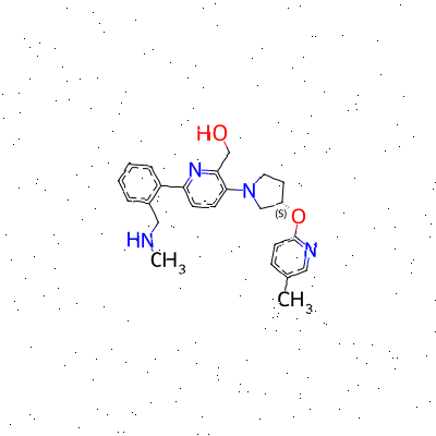 CNCc1ccccc1-c1ccc(N2CC[C@H](Oc3ccc(C)cn3)C2)c(CO)n1